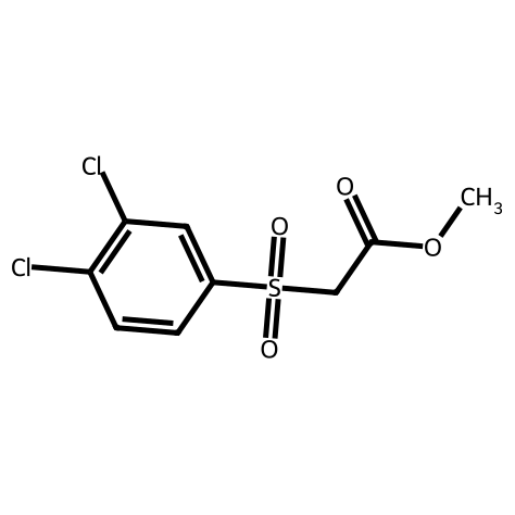 COC(=O)CS(=O)(=O)c1ccc(Cl)c(Cl)c1